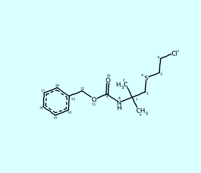 CC(C)(CSCCCl)NC(=O)OCc1ccccc1